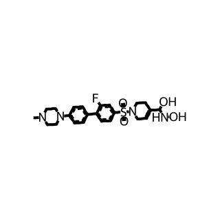 CN1CCN(c2ccc(-c3ccc(S(=O)(=O)N4CC=C(C(O)NO)CC4)cc3F)cc2)CC1